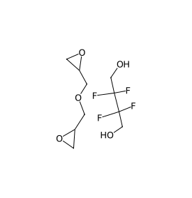 C(OCC1CO1)C1CO1.OCC(F)(F)C(F)(F)CO